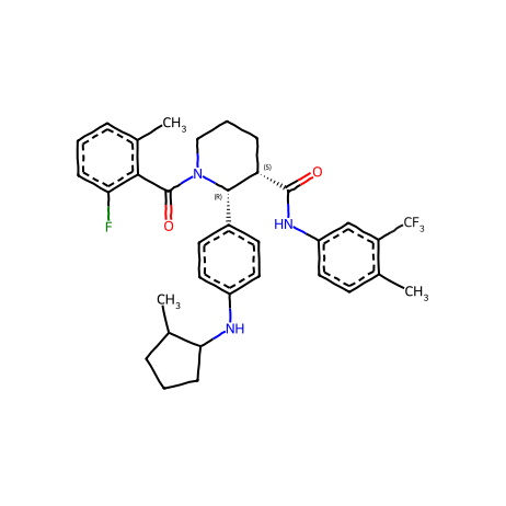 Cc1ccc(NC(=O)[C@H]2CCCN(C(=O)c3c(C)cccc3F)[C@H]2c2ccc(NC3CCCC3C)cc2)cc1C(F)(F)F